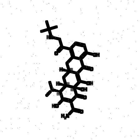 CN(C)[C@@H]1C(O)=C(C(N)=O)C(=O)[C@@]2(O)C(O)=C3C(=O)c4c(O)ccc(C(=O)CNC(C)(C)C)c4C[C@H]3C[C@@H]12